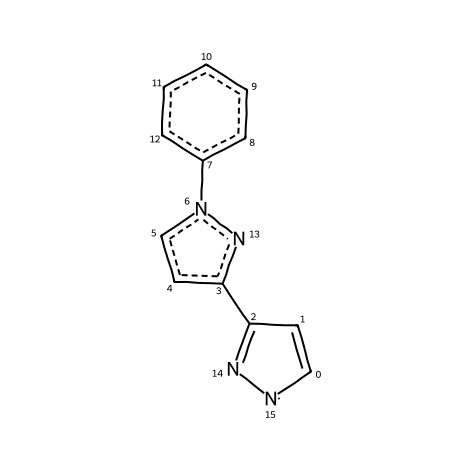 C1=CC(c2ccn(-c3ccccc3)n2)=N[N]1